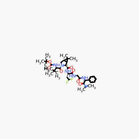 CN(C)C(=O)[C@@H](NC(=O)CNC(=O)[C@H](CC(F)F)NC(=O)[C@@H]1C2C(CN1C(=O)[C@@H](NC(=O)OC(C)(C)C)C(C)(C)C)C2(C)C)c1ccccc1